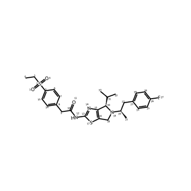 CCS(=O)(=O)c1ccc(CC(=O)Nc2nc3c(s2)CN([C@H](C)Cc2ccc(F)cc2)[C@@H]3C(C)C)cc1